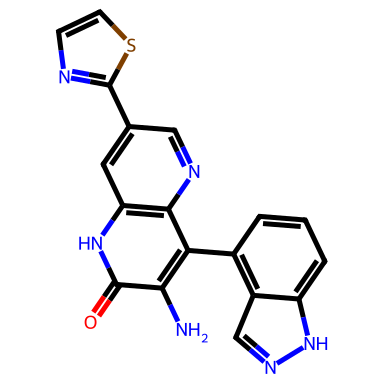 Nc1c(-c2cccc3[nH]ncc23)c2ncc(-c3nccs3)cc2[nH]c1=O